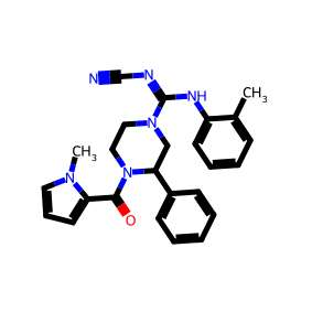 Cc1ccccc1N/C(=N/C#N)N1CCN(C(=O)c2cccn2C)C(c2ccccc2)C1